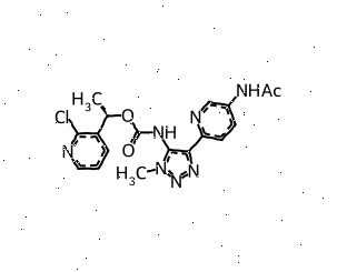 CC(=O)Nc1ccc(-c2nnn(C)c2NC(=O)O[C@H](C)c2cccnc2Cl)nc1